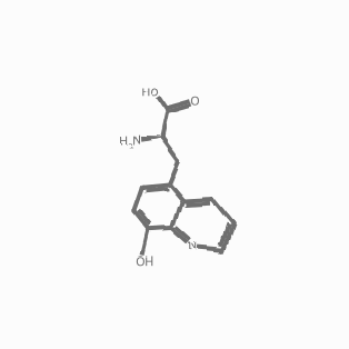 N[C@H](Cc1ccc(O)c2ncccc12)C(=O)O